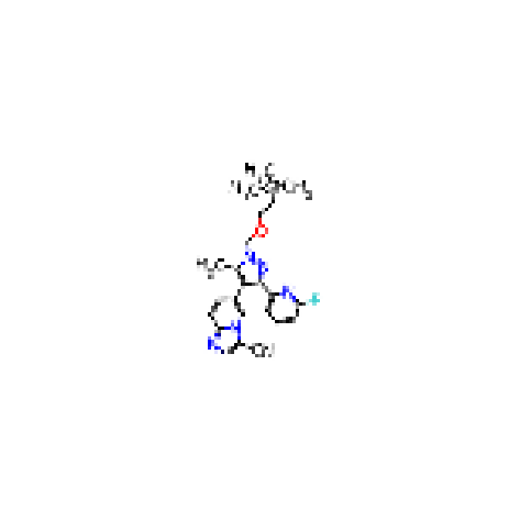 Cc1c(-c2ccc3ncc(C#N)n3c2)c(-c2cccc(F)n2)nn1COCC[Si](C)(C)C